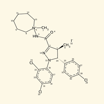 C[C@@H]1C(C(=O)N[N+]2(C)CCCCCC2)=NN(c2ccc(Cl)cc2Cl)[C@H]1c1ccc(Cl)cc1.[I-]